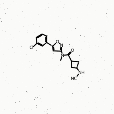 CN(C(=O)C1CC(NC#N)C1)c1cc(-c2cccc(Cl)c2)on1